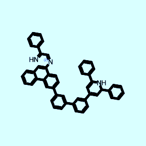 N=C(/C=N\c1cc2ccccc2c2cc(-c3cccc(-c4cccc(C5=CC(c6ccccc6)NC(c6ccccc6)=C5)c4)c3)ccc12)c1ccccc1